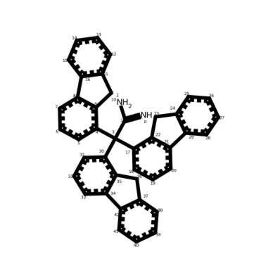 N=C(N)C(c1cccc2c1Cc1ccccc1-2)(c1cccc2c1Cc1ccccc1-2)c1cccc2c1Cc1ccccc1-2